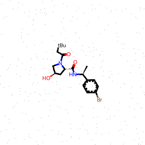 C[C@H](NC(=O)[C@@H]1C[C@@H](O)CN1C(=O)CC(C)(C)C)c1ccc(Br)cc1